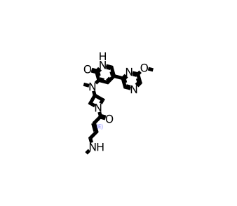 CNC/C=C/C(=O)N1CC(N(C)c2cc(-c3cncc(OC)n3)c[nH]c2=O)C1